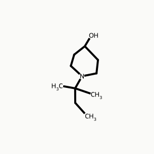 CCC(C)(C)N1CCC(O)CC1